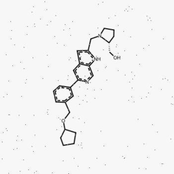 OC[C@H]1CCCN1Cc1cc2cc(-c3cccc(COC4CCCC4)c3)ncc2[nH]1